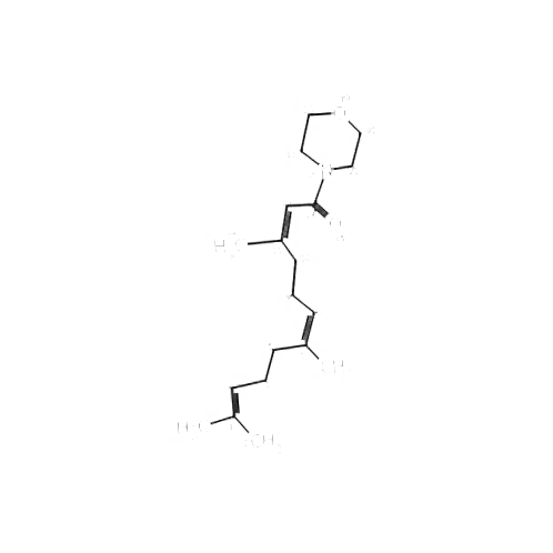 CC(C)=CCCC(C)=CCCC(C)=CC(=O)N1CCOCC1